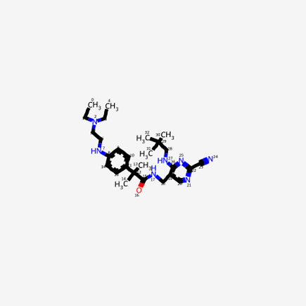 CCN(CC)CCNc1ccc(C(C)(C)C(=O)NCc2cnc(C#N)nc2NCC(C)(C)C)cc1